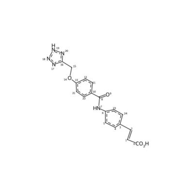 O=C(O)C=Cc1ccc(NC(=O)c2ccc(OCc3nn[nH]n3)cc2)cc1